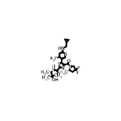 C[C@H](NC(=O)c1nc(C(=O)N2CC(F)(F)C[C@@H]2C)c(-c2cnc(NCC3CC3)cc2C(F)(F)F)s1)C(C)(C)O